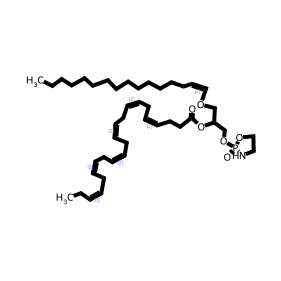 CC/C=C\C/C=C\C/C=C\C/C=C\C/C=C\C/C=C\CCC(=O)OC(CO/C=C\CCCCCCCCCCCCCC)COP1(=O)NCCO1